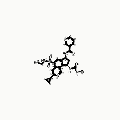 CCNC(=O)N[C@H]1C[C@H](NC(=O)c2cccnc2)c2cc(S(=O)(=O)NCC(C)C)c3cc(C4CC4)ncc3c21